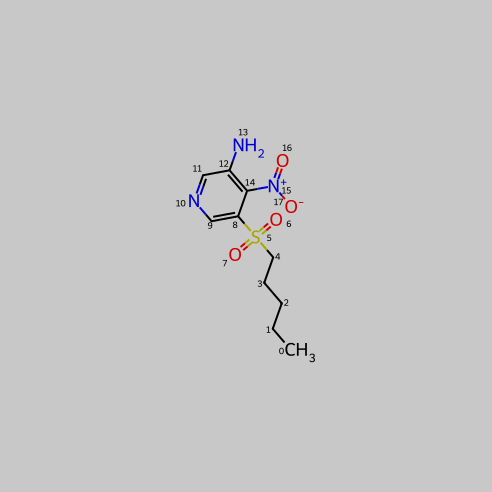 CCCCCS(=O)(=O)c1cncc(N)c1[N+](=O)[O-]